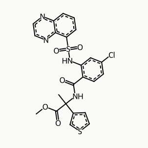 COC(=O)C(C)(NC(=O)c1ccc(Cl)cc1NS(=O)(=O)c1cccc2nccnc12)c1ccsc1